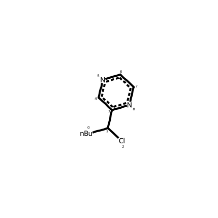 CCCCC(Cl)c1cnccn1